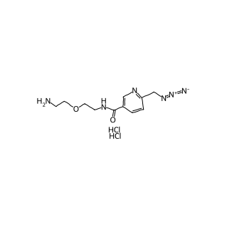 Cl.Cl.[N-]=[N+]=NCc1ccc(C(=O)NCCOCCN)cn1